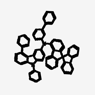 c1ccc(-c2cccc(N(c3ccc4c(c3)c3c(-c5ccccc5)cccc3n4-c3ccccc3)c3cccc4c3-c3ccccc3C43c4ccccc4-c4ccccc43)c2)cc1